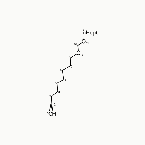 C#CCCCCCCCOCOCCCCCCC